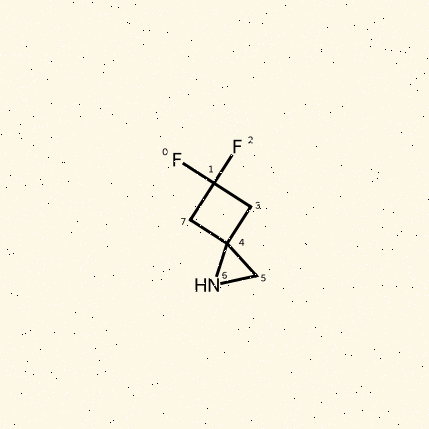 FC1(F)CC2(CN2)C1